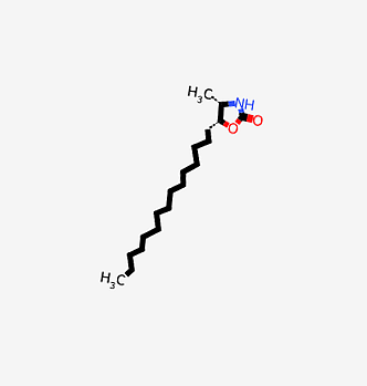 CCCCCCCCCCCCCCC[C@H]1OC(=O)N[C@H]1C